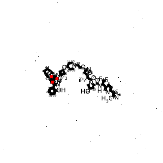 Cc1ncsc1-c1ccc([C@@H](NC(=O)[C@@H]2C[C@@H](O)CN2C(=O)[C@@H](c2cc(OCCN3CCC(O[C@H]4C[C@H](Oc5cc(N6C7CCC6CN(c6cc(-c8ccccc8O)nnc6N)C7)ccn5)C4)CC3)no2)C(C)C)C(F)F)cn1